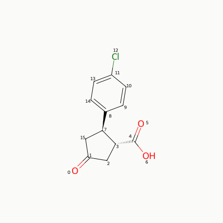 O=C1C[C@@H](C(=O)O)[C@H](c2ccc(Cl)cc2)C1